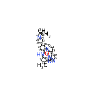 Cc1ccc(NC(=O)c2ccc(C3CCN(CC(C)C)CC3)cc2)cc1Nc1nccc(-c2cccnc2)n1